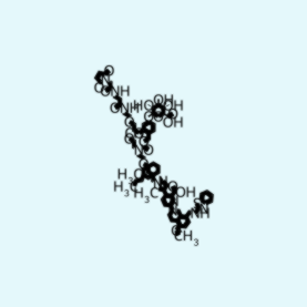 CCCC1(C)CC2(Cn3ncc(-c4ccc(N5CCc6c(OC)ccc(CNc7nc8ccccc8s7)c6C5)nc4C(=O)O)c3C)CCCC(OCCN(CCOC)C(=O)OCc3ccc(O[C@@H]4O[C@H](C(=O)O)[C@@H](O)[C@H](O)[C@H]4O)cc3OCCOCCNC(=O)CCNC(=O)CN3C(=O)C=CC3=O)(C1)C2